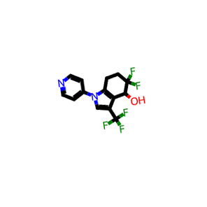 OC1c2c(C(F)(F)F)cn(-c3ccncc3)c2CCC1(F)F